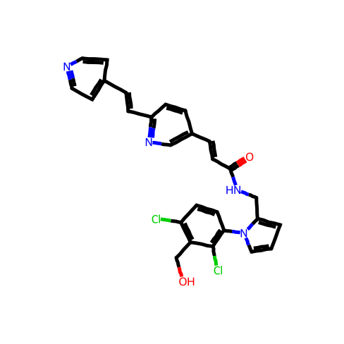 O=C(C=Cc1ccc(C=Cc2ccncc2)nc1)NCc1cccn1-c1ccc(Cl)c(CO)c1Cl